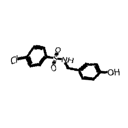 O=S(=O)(NCc1ccc(O)cc1)c1ccc(Cl)cc1